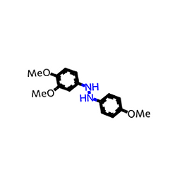 COc1ccc(NNc2ccc(OC)c(OC)c2)cc1